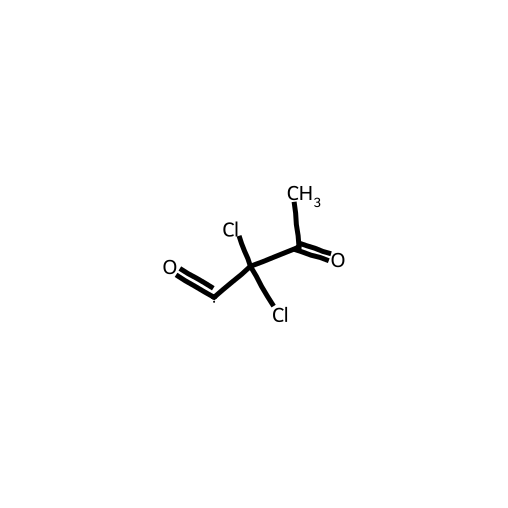 CC(=O)C(Cl)(Cl)[C]=O